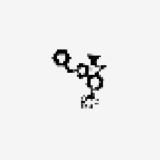 CN(C1CCN(C(=O)OC(C)(C)C)CC1)C1([C@@H]2CCN(Cc3ccccc3)C2)CC1